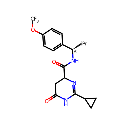 CC(C)[C@@H](NC(=O)C1CC(=O)NC(C2CC2)=N1)c1ccc(OC(F)(F)F)cc1